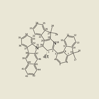 CC[C@H]1C(c2cccc3c2-c2ccccc2C3(C)C)=NC2=C(c3ccccc3C2(C)C)C1n1c2ccccc2c2cc3ccccc3cc21